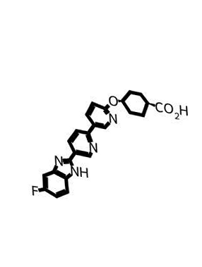 O=C(O)[C@H]1CC[C@@H](Oc2ccc(-c3ccc(-c4nc5cc(F)ccc5[nH]4)cn3)cn2)CC1